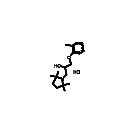 Cc1ccccc1OCC(O)CN1C(C)(C)CCC1(C)C.Cl